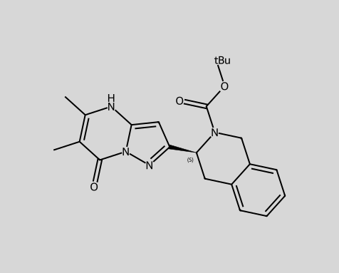 Cc1[nH]c2cc([C@@H]3Cc4ccccc4CN3C(=O)OC(C)(C)C)nn2c(=O)c1C